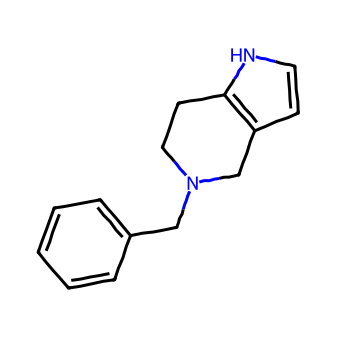 c1ccc(CN2CCc3[nH]ccc3C2)cc1